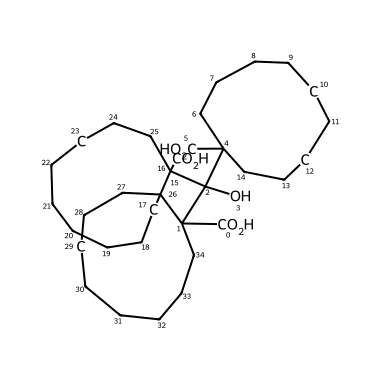 O=C(O)C1(C(O)(C2(C(=O)O)CCCCCCCCC2)C2(C(=O)O)CCCCCCCCC2)CCCCCCCCC1